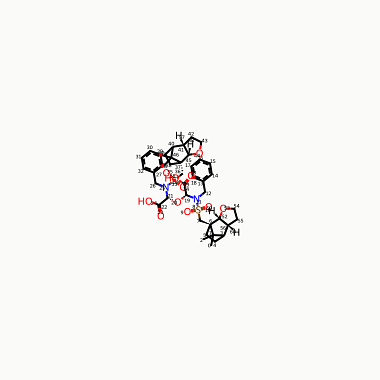 CC1(C)C2CC[C@]1(CS(=O)(=O)N(Cc1ccccc1)[C@@H](O[C@H](C(=O)O)N(Cc1ccccc1)S(=O)(=O)C[C@@]13CCC([C@@H]4CCO[C@@H]41)C3(C)C)C(=O)O)[C@@H]1OCC[C@H]21